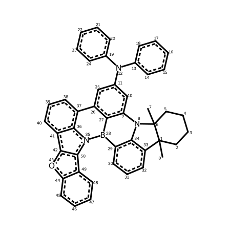 CC12CCCCC1(C)N1c3cc(N(c4ccccc4)c4ccccc4)cc4c3B(c3cccc2c31)n1c2c-4cccc2c2oc3ccccc3c21